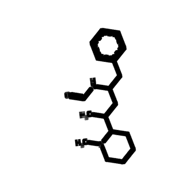 CC(CC(Cc1ccccc1)NC=O)C1CCCCN1C